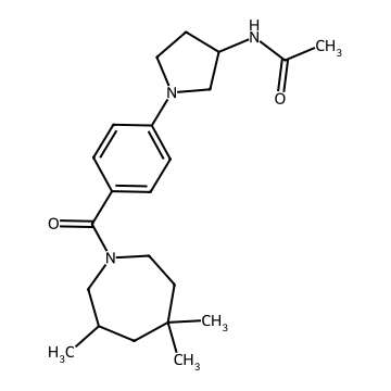 CC(=O)NC1CCN(c2ccc(C(=O)N3CCC(C)(C)CC(C)C3)cc2)C1